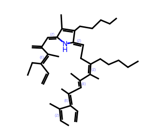 C=C/C(CC)=C(\C)C(=C)/C=c1\[nH]/c(=C\C\C(CCCCC)=C(C)/C(C)=C/C(C)=C(C=C)/C(C)=C\C)c(CCCCC)c1C